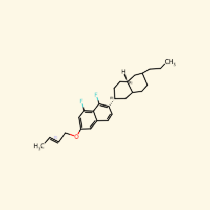 C/C=C/COc1cc(F)c2c(F)c([C@@H]3CC[C@@H]4CC(CCC)CCC4C3)ccc2c1